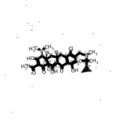 CN(C)[C@@H]1C(O)=C(C(N)=O)C(=O)C2(O)C(O)=C3C(=O)c4c(O)cc(CN(C)C(C)(C)C5CC5)c(Cl)c4C[C@H]3C[C@@H]12